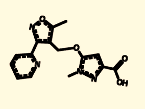 Cc1onc(-c2ccccn2)c1COc1cc(C(=O)O)nn1C